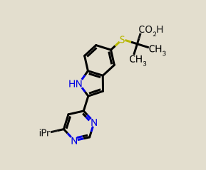 CC(C)c1cc(-c2cc3cc(SC(C)(C)C(=O)O)ccc3[nH]2)ncn1